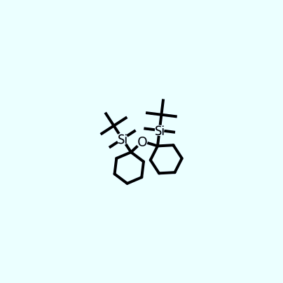 CC(C)(C)[Si](C)(C)C1(OC2([Si](C)(C)C(C)(C)C)CCCCC2)CCCCC1